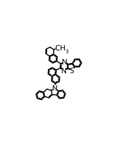 CC1CC=Cc2ccc(-c3nc4c(nc3-c3cccc5cc(N6c7ccccc7C7=Cc8ccccc8CC76)ccc35)sc3ccccc34)cc21